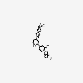 CC(=O)N1CC2(C1)CN(c1ccnc(-c3ccc(OC(F)(F)F)c(F)c3)c1)C2